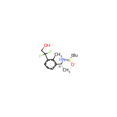 Cc1c([C@@H](C)N[S@+]([O-])C(C)(C)C)cccc1C(F)(F)CO